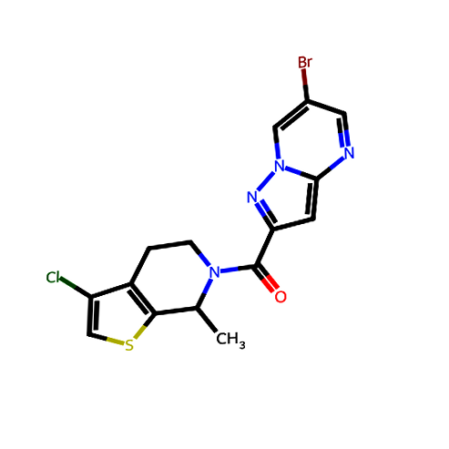 CC1c2scc(Cl)c2CCN1C(=O)c1cc2ncc(Br)cn2n1